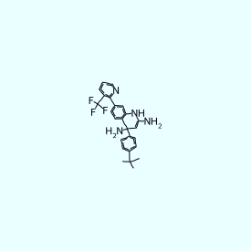 CC(C)(C)c1ccc(C2(N)C=C(N)Nc3cc(-c4ncccc4C(F)(F)F)ccc32)cc1